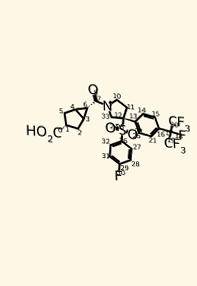 O=C(O)[C@H]1CC2C(C1)[C@@H]2C(=O)N1CC[C@](c2ccc(C(F)(C(F)(F)F)C(F)(F)F)cc2)(S(=O)(=O)c2ccc(F)cc2)C1